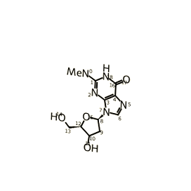 CNc1nc2c(ncn2[C@H]2CC(O)[C@@H](CO)O2)c(=O)[nH]1